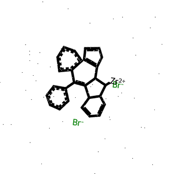 [Br-].[Br-].[Zr+2][CH]1C(C2=CC=CC2)C(=C(c2ccccc2)c2ccccc2)C2C=CC=CC21